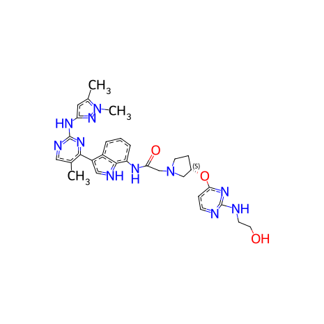 Cc1cnc(Nc2cc(C)n(C)n2)nc1-c1c[nH]c2c(NC(=O)CN3CC[C@H](Oc4ccnc(NCCO)n4)C3)cccc12